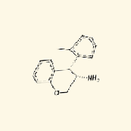 Cc1ccccc1[C@H]1c2ccccc2OC[C@H]1N